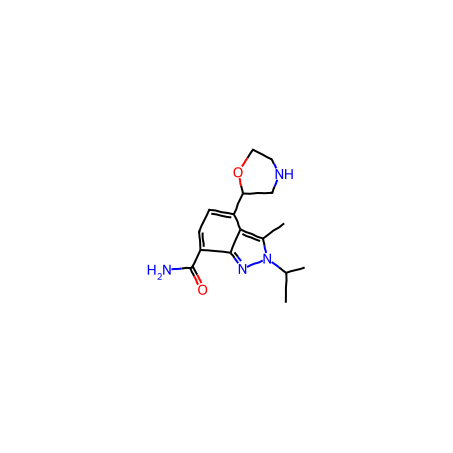 Cc1c2c(C3CNCCO3)ccc(C(N)=O)c2nn1C(C)C